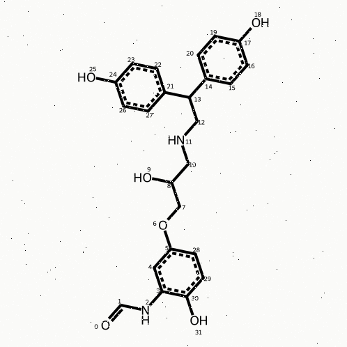 O=CNc1cc(OCC(O)CNCC(c2ccc(O)cc2)c2ccc(O)cc2)ccc1O